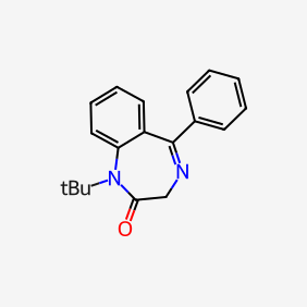 CC(C)(C)N1C(=O)CN=C(c2ccccc2)c2ccccc21